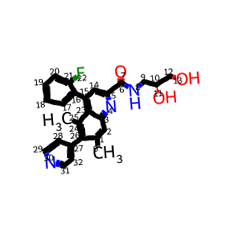 Cc1cc2nc(C(=O)NC[C@@H](O)CO)cc(-c3ccccc3F)c2c(C)c1-c1ccncc1